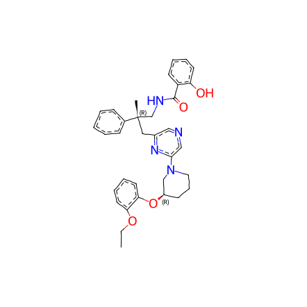 CCOc1ccccc1O[C@@H]1CCCN(c2cncc(C[C@@](C)(CNC(=O)c3ccccc3O)c3ccccc3)n2)C1